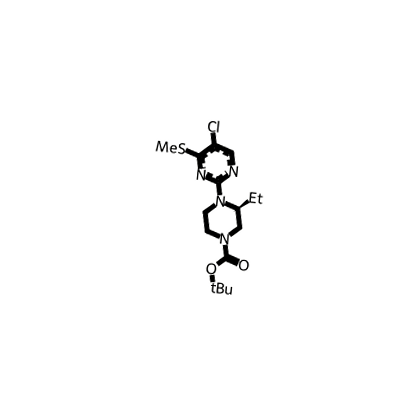 CC[C@H]1CN(C(=O)OC(C)(C)C)CCN1c1ncc(Cl)c(SC)n1